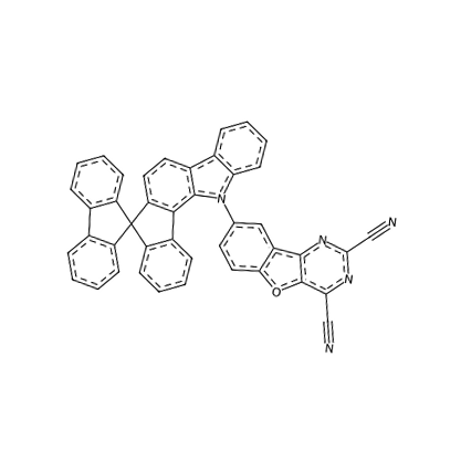 N#Cc1nc(C#N)c2oc3ccc(-n4c5ccccc5c5ccc6c(c54)-c4ccccc4C64c5ccccc5-c5ccccc54)cc3c2n1